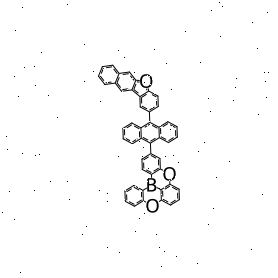 c1ccc2c(c1)Oc1cccc3c1B2c1ccc(-c2c4ccccc4c(-c4ccc5oc6cc7ccccc7cc6c5c4)c4ccccc24)cc1O3